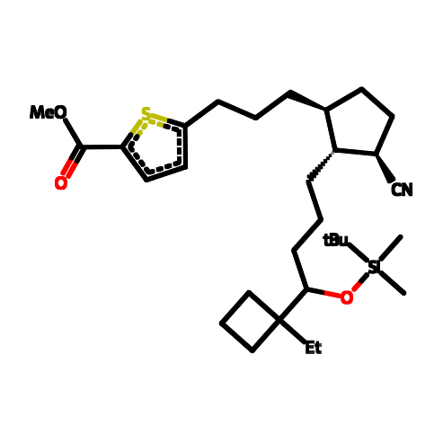 CCC1(C(CCC[C@@H]2[C@@H](CCCc3ccc(C(=O)OC)s3)CC[C@H]2C#N)O[Si](C)(C)C(C)(C)C)CCC1